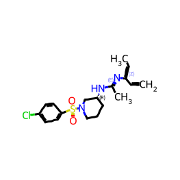 C=CC(=C/C)/N=C(\C)N[C@@H]1CCCN(S(=O)(=O)c2ccc(Cl)cc2)C1